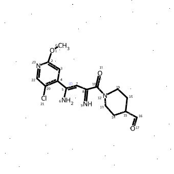 COc1cc(/C(N)=C/C(=N)C(=O)N2CCC(C=O)CC2)c(Cl)cn1